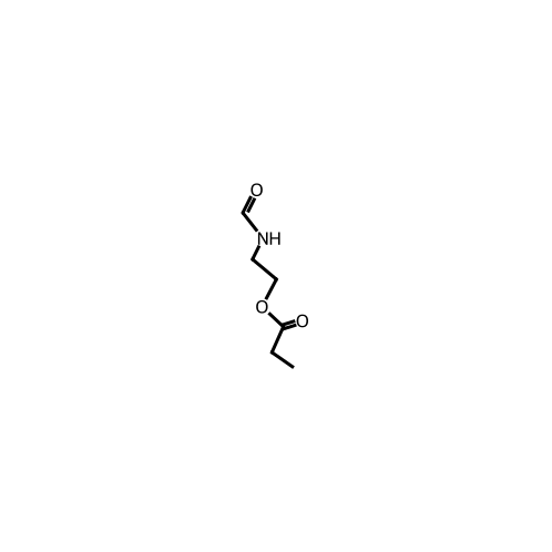 CCC(=O)OCCNC=O